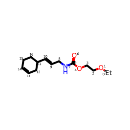 CCOCCOC(=O)NC/C=C/C1CC=CCC1